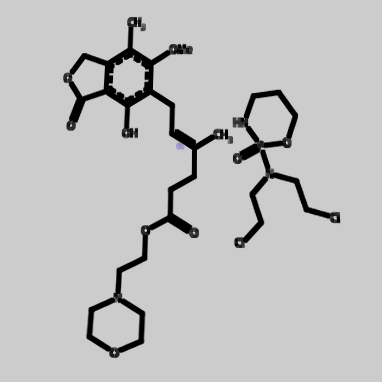 COc1c(C)c2c(c(O)c1C/C=C(\C)CCC(=O)OCCN1CCOCC1)C(=O)OC2.O=P1(N(CCCl)CCCl)NCCCO1